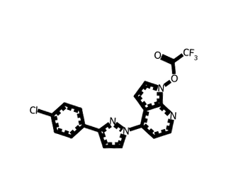 O=C(On1ccc2c(-n3ccc(-c4ccc(Cl)cc4)n3)ccnc21)C(F)(F)F